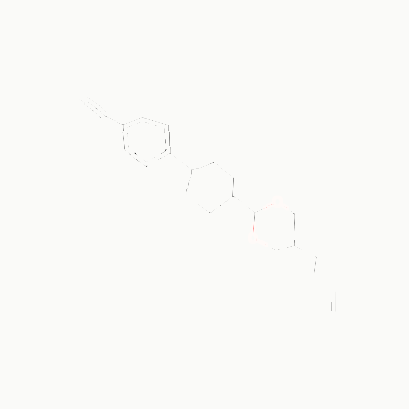 C#Cc1ccc(C2CCC(C3OCC(CCC=C)CO3)CC2)cc1